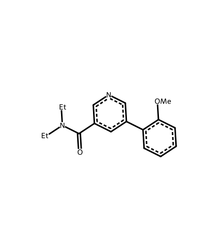 CCN(CC)C(=O)c1cncc(-c2ccccc2OC)c1